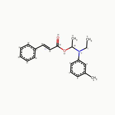 CCN(c1cccc(C)c1)C(C)OC(=O)/C=C/c1ccccc1